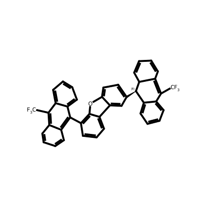 FC(F)(F)C1=C2C=CC=CC2[C@H](c2ccc3oc4c(-c5c6ccccc6c(C(F)(F)F)c6ccccc56)cccc4c3c2)c2ccccc21